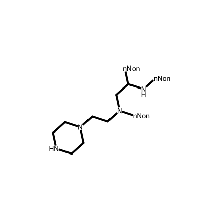 CCCCCCCCCNC(CCCCCCCCC)CN(CCCCCCCCC)CCN1CCNCC1